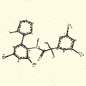 Cc1ccccc1-c1cc(Cl)nc(C#N)c1N(C)C(=O)C(C)(C)c1cc(C(F)(F)F)cc(C(F)(F)F)c1